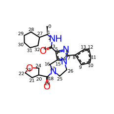 C[C@@H](NC(=O)c1nc(-c2ccccc2)n2c1CN(C(=O)C1CCOC1)CC2)C1CCCCC1